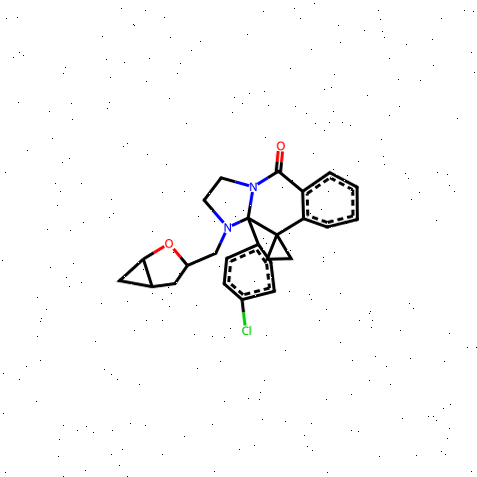 O=C1c2ccccc2C2(CC2)C2(c3ccc(Cl)cc3)N(CC3CC4CC4O3)CCN12